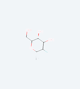 CC(C)[C@@H]1OC(CO)[C@@H](O)C(O)C1F